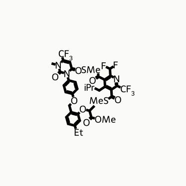 CCc1ccc(COc2ccc(-n3c(=O)cc(C(F)(F)F)n(C)c3=O)cc2)c(OC(C)C(=O)OC)c1.CSC(=O)c1c(C(F)F)nc(C(F)(F)F)c(C(=O)SC)c1CC(C)C